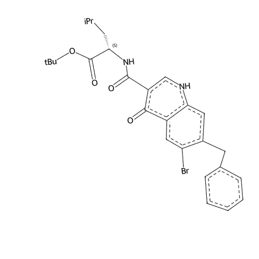 CC(C)C[C@H](NC(=O)c1c[nH]c2cc(Cc3ccccc3)c(Br)cc2c1=O)C(=O)OC(C)(C)C